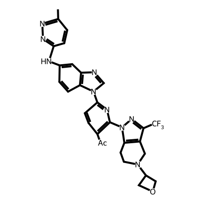 CC(=O)c1ccc(-n2cnc3cc(Nc4ccc(C)nn4)ccc32)nc1-n1nc(C(F)(F)F)c2c1CCN(C1COC1)C2